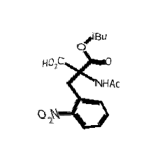 CCC(C)OC(=O)C(Cc1ccccc1[N+](=O)[O-])(NC(C)=O)C(=O)O